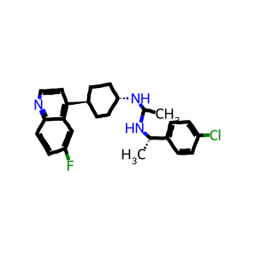 CC(N[C@@H](C)c1ccc(Cl)cc1)N[C@H]1CC[C@H](c2ccnc3ccc(F)cc32)CC1